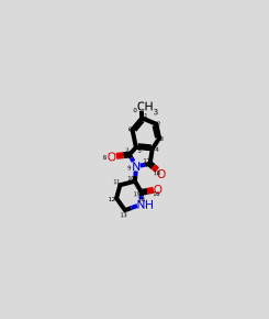 Cc1ccc2c(c1)C(=O)N(C1CCCNC1=O)C2=O